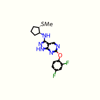 CS[C@H]1CCC[C@@H]1Nc1n[nH]c2nc(Oc3ccc(F)cc3F)ncc12